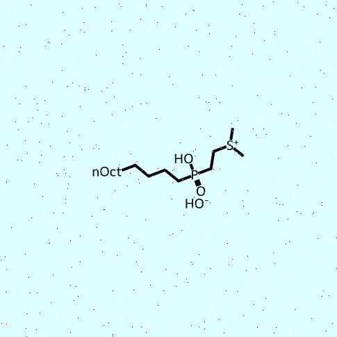 CCCCCCCCCCCCP(=O)(O)CC[S+](C)C.[OH-]